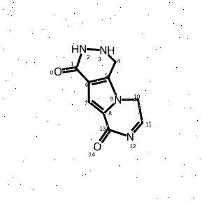 O=C1NNCc2c1cc1n2CC=NC1=O